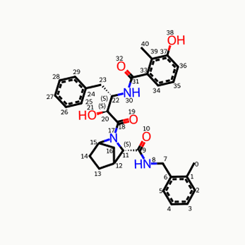 Cc1ccccc1CNC(=O)[C@@H]1C2CCC(C2)N1C(=O)[C@@H](O)[C@H](Cc1ccccc1)NC(=O)c1cccc(O)c1C